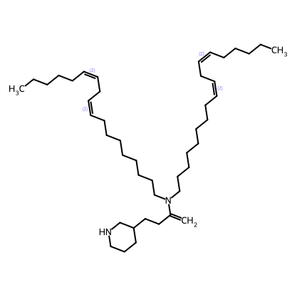 C=C(CCC1CCCNC1)N(CCCCCCCC/C=C\C/C=C\CCCCC)CCCCCCCC/C=C\C/C=C\CCCCC